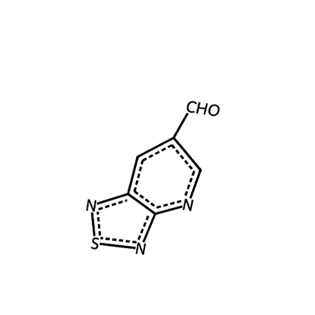 O=Cc1cnc2nsnc2c1